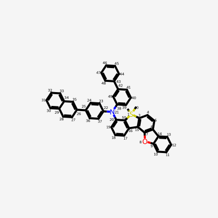 CS1(C)c2ccc3c(oc4ccccc43)c2-c2cccc(N(c3ccc(-c4ccc5ccccc5c4)cc3)c3cccc(-c4ccccc4)c3)c21